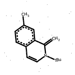 C=C1c2cc(C)ccc2C=CN1C(C)(C)C